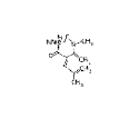 C=C(C)/C=C(\C(=C)N(C)C)C(=O)NC